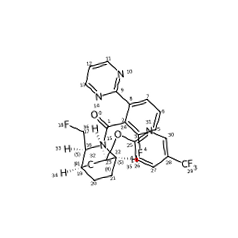 O=C(c1c(F)cccc1-c1ncccn1)N1[C@H](CF)[C@@H]2CC[C@H]1[C@H](Oc1ccc(C(F)(F)F)cn1)C2